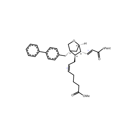 CCCCCC(=O)/C=C/[C@@H]1[C@@H](C/C=C\CCCC(=O)OC)[C@@]2(Cc3ccc(-c4ccccc4)cc3)CO[C@@H]1C2